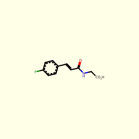 O=C(O)CNC(=O)/C=C/c1ccc(F)cc1